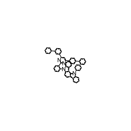 c1ccc(-c2ccc(-c3cc(-c4cccc(-c5ccccc5)c4)nc(-c4ccccc4-n4c5ccccc5c5c4ccc4c6ccccc6n(-c6ccccc6)c45)n3)cc2)cc1